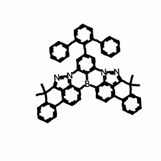 CC1(C)c2ccccc2-c2ccc3c4c2c1nn4-c1cc(-c2c(-c4ccccc4)cccc2-c2ccccc2)cc2c1B3c1ccc3c4c(nn-2c14)C(C)(C)c1ccccc1-3